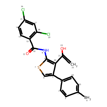 Bc1ccc(-c2csc(NC(=O)c3ccc(Cl)cc3Cl)c2C(=C)O)cc1